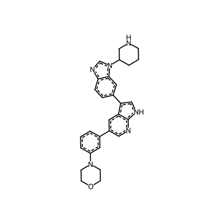 c1cc(-c2cnc3[nH]cc(-c4ccc5ncn(C6CCCNC6)c5c4)c3c2)cc(N2CCOCC2)c1